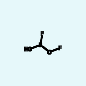 OB(F)OF